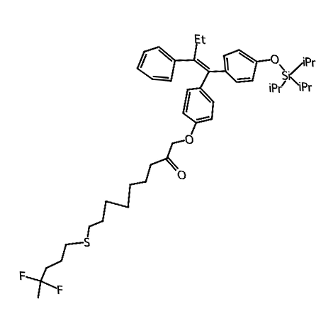 CC/C(=C(/c1ccc(OCC(=O)CCCCCCCSCCCC(C)(F)F)cc1)c1ccc(O[Si](C(C)C)(C(C)C)C(C)C)cc1)c1ccccc1